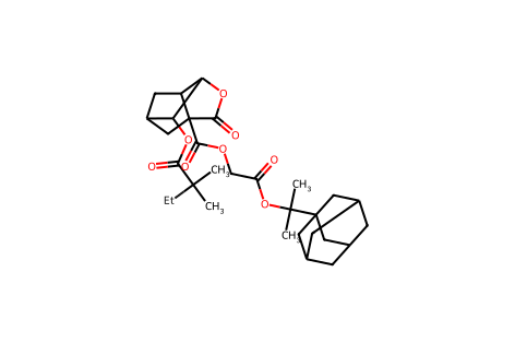 CCC(C)(C)C(=O)OC1C2CC3C1OC(=O)C3(C(=O)OCC(=O)OC(C)(C)C13CC4CC(CC(C4)C1)C3)C2